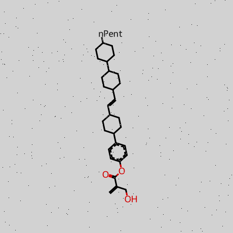 C=C(CO)C(=O)Oc1ccc(C2CCC(/C=C/C3CCC(C4CCC(CCCCC)CC4)CC3)CC2)cc1